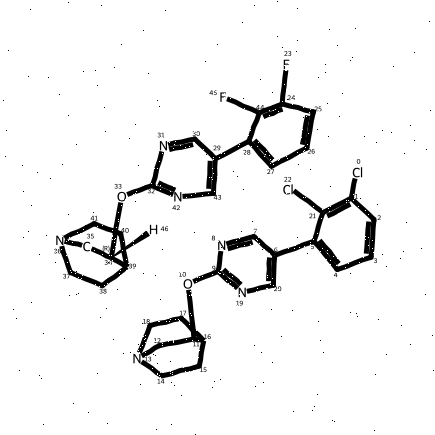 Clc1cccc(-c2cnc(OC3CN4CCC3CC4)nc2)c1Cl.Fc1cccc(-c2cnc(O[C@H]3CN4CCC3CC4)nc2)c1F